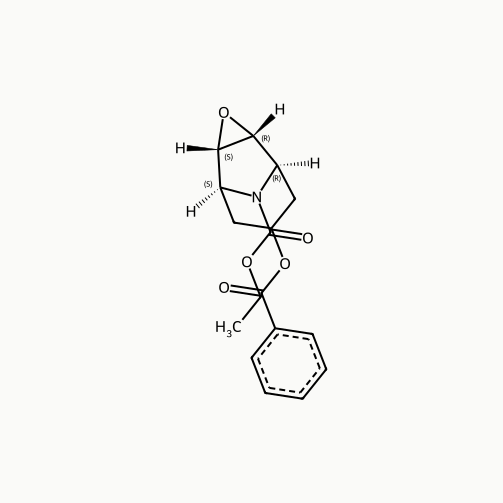 CCOC(=O)N1[C@@H]2CC(OC(=O)c3ccccc3)C[C@H]1[C@@H]1O[C@@H]12